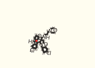 O=C1C[C@](C(=O)NCCCN2CCOCC2)(c2ccccc2)[C@H](c2c[nH]c3cc(Cl)ccc23)N1Cc1ccc(Cl)cc1